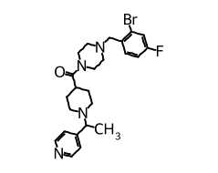 CC(c1ccncc1)N1CCC(C(=O)N2CCN(Cc3ccc(F)cc3Br)CC2)CC1